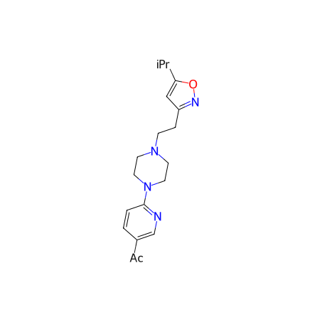 CC(=O)c1ccc(N2CCN(CCc3cc(C(C)C)on3)CC2)nc1